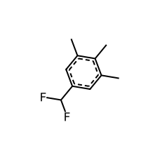 Cc1cc(C(F)F)cc(C)c1C